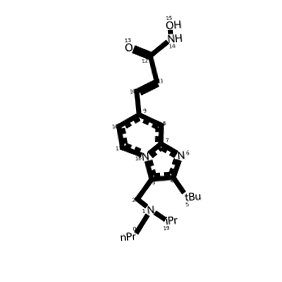 CCCN(Cc1c(C(C)(C)C)nc2cc(C=CC(=O)NO)ccn12)C(C)C